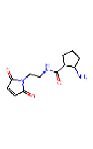 NC1CCCC1C(=O)NCCN1C(=O)C=CC1=O